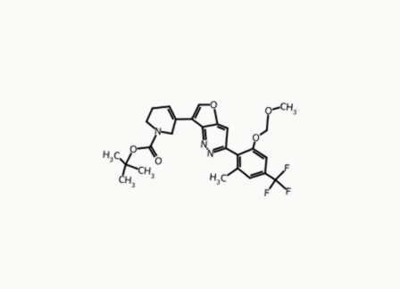 COCOc1cc(C(F)(F)F)cc(C)c1-c1cc2occ(C3=CCCN(C(=O)OC(C)(C)C)C3)c2nn1